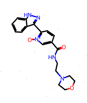 O=C(NCCN1CCOCC1)c1ccc(-c2n[nH]c3ccccc23)[n+]([O-])c1